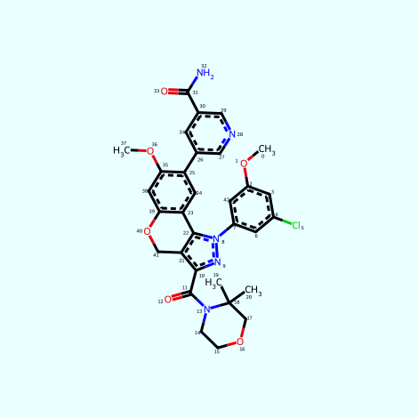 COc1cc(Cl)cc(-n2nc(C(=O)N3CCOCC3(C)C)c3c2-c2cc(-c4cncc(C(N)=O)c4)c(OC)cc2OC3)c1